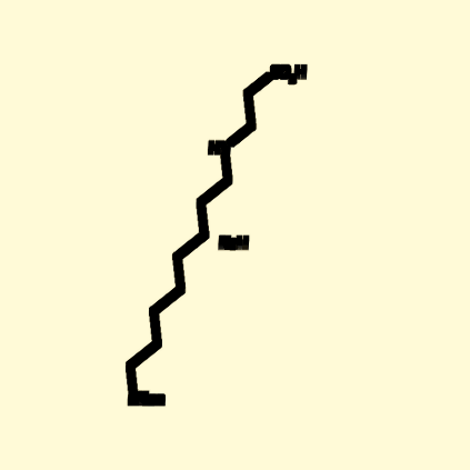 CCCCCCCCCCCCCCCCCNCCS(=O)(=O)O.[NaH]